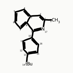 Cc1cc2ccccc2c(-c2ccc(C(C)(C)C)cc2)n1